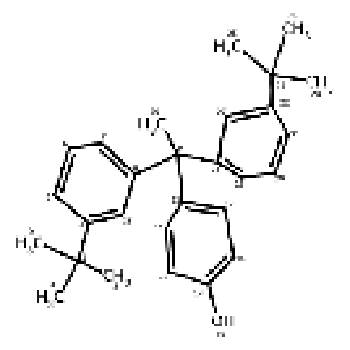 CC(C)(C)c1cccc(C(C)(c2ccc(O)cc2)c2cccc(C(C)(C)C)c2)c1